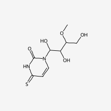 COC(CO)C(O)C(O)n1ccc(=S)[nH]c1=O